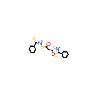 CN(SC(=O)CC(=O)SN(C)C(=S)c1ccccc1)C(=S)c1ccccc1